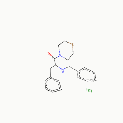 Cl.O=C(C(Cc1ccccc1)NCc1ccccc1)N1CCSCC1